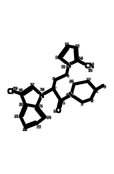 CC1CCN(C(=O)C(CCn2cccc2C#N)n2cc(Cl)c3ccccc32)CC1